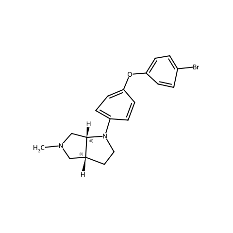 CN1C[C@H]2CCN(c3ccc(Oc4ccc(Br)cc4)cc3)[C@H]2C1